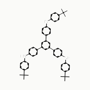 CC(C)(C)c1ccc(Nc2ccc(-c3cc(-c4ccc(Nc5ccc(C(C)(C)C)cc5)cc4)cc(-c4ccc(Nc5ccc(C(C)(C)C)cc5)cc4)c3)cc2)cc1